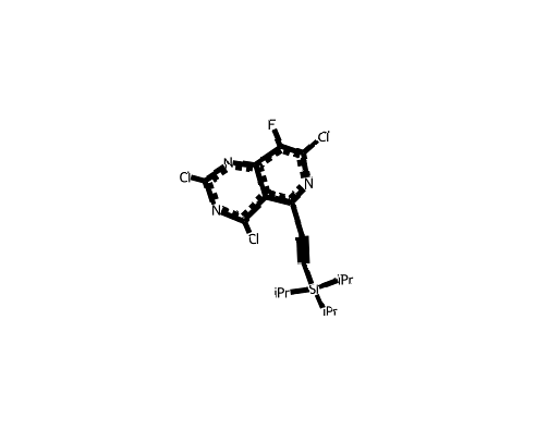 CC(C)[Si](C#Cc1nc(Cl)c(F)c2nc(Cl)nc(Cl)c12)(C(C)C)C(C)C